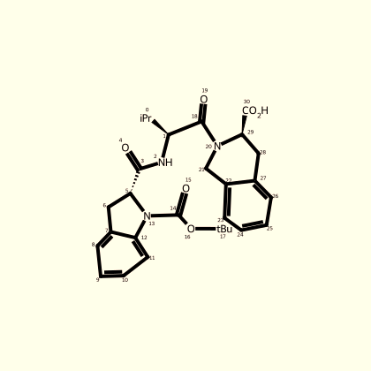 CC(C)[C@H](NC(=O)[C@H]1Cc2ccccc2N1C(=O)OC(C)(C)C)C(=O)N1Cc2ccccc2C[C@@H]1C(=O)O